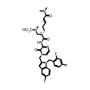 CN(C)C(=O)/C=C/CC[C@@H](CN(C)C(=O)O)C(=O)Nc1nccn(Cc2cc3cc(F)ccc3n2Cc2ccc(F)cc2F)c1=O